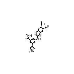 C#Cc1cc2cnc(Nc3cc(C(=O)NC)cc(-c4cnn(C)c4)c3)nc2cc1C(F)(F)F